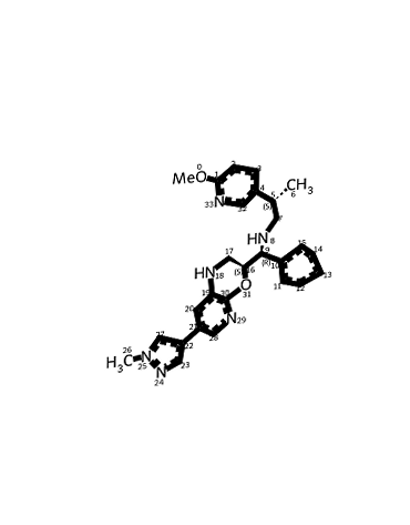 COc1ccc([C@H](C)CN[C@H](c2ccccc2)[C@@H]2CNc3cc(-c4cnn(C)c4)cnc3O2)cn1